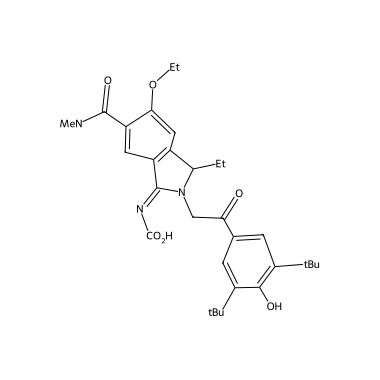 CCOc1cc2c(cc1C(=O)NC)C(=NC(=O)O)N(CC(=O)c1cc(C(C)(C)C)c(O)c(C(C)(C)C)c1)C2CC